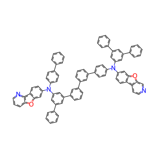 c1ccc(-c2ccc(N(c3cc(-c4ccccc4)cc(-c4cccc(-c5cccc(-c6ccc(N(c7cc(-c8ccccc8)cc(-c8ccccc8)c7)c7ccc8c(c7)oc7cnccc78)cc6)c5)c4)c3)c3ccc4c(c3)oc3cccnc34)cc2)cc1